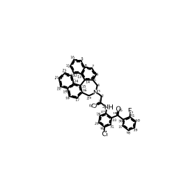 O=C(CN1Cc2ccc3ccccc3c2-c2c(ccc3ccccc23)C1)Nc1ccc(Cl)cc1C(=O)c1ccccc1F